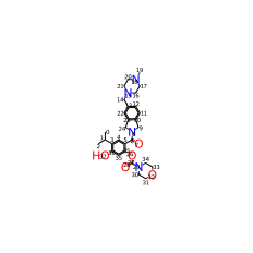 CC(C)c1cc(C(=O)N2Cc3ccc(CN4CCN(C)CC4)cc3C2)c(OC(=O)N2CCOCC2)cc1O